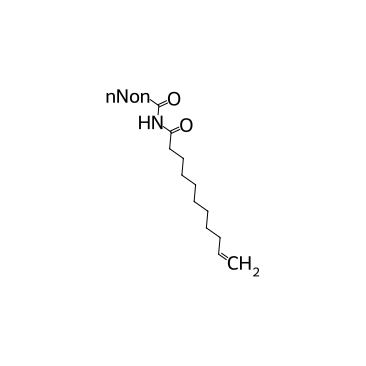 C=CCCCCCCCCC(=O)NC(=O)CCCCCCCCC